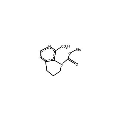 CC(C)(C)OC(=O)N1CCCc2ncnc(C(=O)O)c21